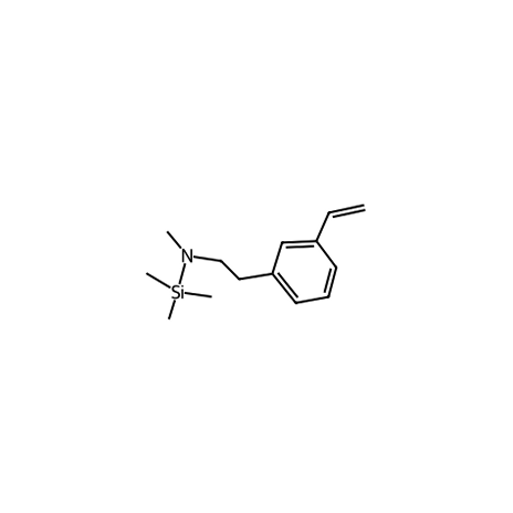 C=Cc1cccc(CCN(C)[Si](C)(C)C)c1